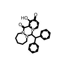 O=C1c2c(O)c(=O)ccn2C(C(c2ccccc2)c2ccccc2)N2CCCCCN12